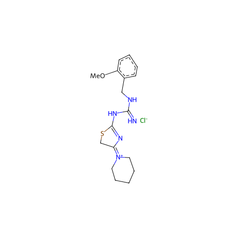 COc1ccccc1CNC(=N)NC1=NC(=[N+]2CCCCC2)CS1.[Cl-]